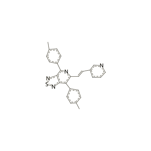 Cc1ccc(-c2nc(/C=C/c3cccnc3)c(-c3ccc(C)cc3)c3nsnc23)cc1